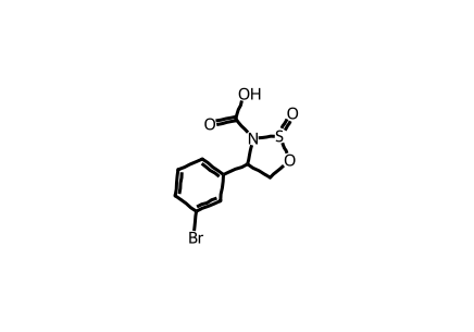 O=C(O)N1C(c2cccc(Br)c2)COS1=O